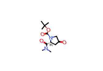 CN(C)C(=O)[C@H]1CC(=O)CN1C(=O)OC(C)(C)C